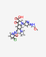 COCCNc1ccc(-n2cc(C(=O)O)c(=O)c3cc(C#N)c(N4CCC[C@@H]4COc4ncccc4Cl)cc32)cn1